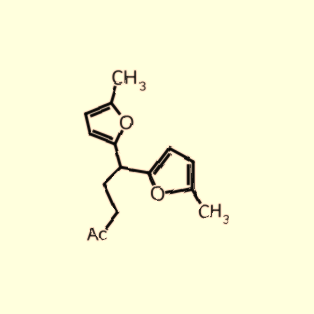 CC(=O)CCC(c1ccc(C)o1)c1ccc(C)o1